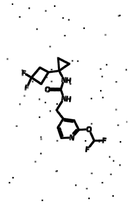 O=C(NCc1ccnc(OC(F)F)c1)NC1(C2CC(F)(F)C2)CC1